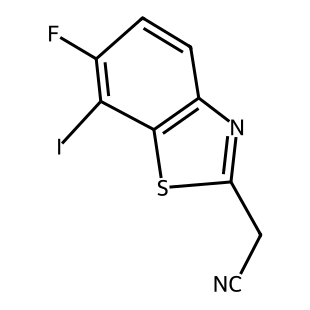 N#CCc1nc2ccc(F)c(I)c2s1